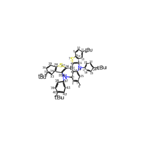 CC1=CC2C3B(c4sc5ccc(C(C)(C)C)cc5c4N(c4ccc(C(C)(C)C)cc4)C3=C1)c1sc3ccc(C(C)(C)C)cc3c1N2c1ccc(C(C)(C)C)cc1